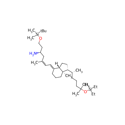 CC[Si](CC)(CC)OC(C)(C)CCC[C@@H](C)[C@H]1CC[C@H]2/C(=C/C=C(/C)C[C@@H](N)CCO[Si](C)(C)C(C)(C)C)CCC[C@]12C